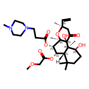 C=C[C@@]1(C)CC(=O)[C@]2(O)[C@@]3(C)[C@@H](O)CCC(C)(C)[C@@H]3[C@H](OC(=O)COC)[C@H](OC(=O)CCN3CCN(C)CC3)[C@@]2(C)O1